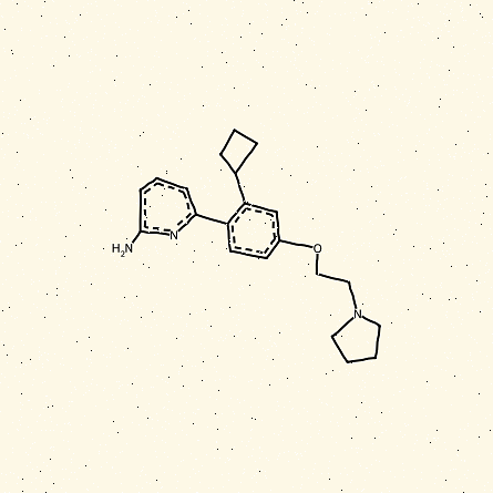 Nc1cccc(-c2ccc(OCCN3CCCC3)cc2C2CCC2)n1